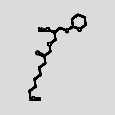 CCCCCCCCCCCCCCCCC(=O)COCC(COC1CCCCO1)OC